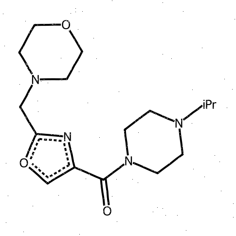 CC(C)N1CCN(C(=O)c2coc(CN3CCOCC3)n2)CC1